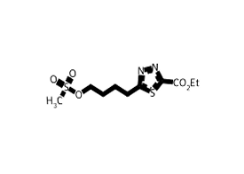 CCOC(=O)c1nnc(CCCCOS(C)(=O)=O)s1